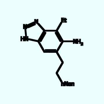 CCCCCCCCCCCc1cc2[nH]nnc2c(CC)c1N